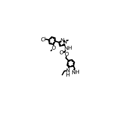 CCNc1cc(COC(=O)Nc2cc(-c3ccc(Cl)cc3OC)nn2C)ccc1C=N